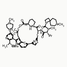 CCn1c(-c2cc(N3CCN(C)CC3)cnc2[C@H](C)OC)c2c3cc(ccc31)-c1csc(n1)C[C@H](NC(=O)[C@H](C(C)C)N(C)C(=O)N1CCC13CCN(C)CC3)C(=O)N1CCC[C@H](N1)C(=O)OCC(C)(C)C2